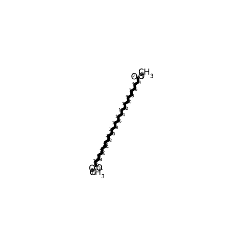 COC(=O)CCCCCCCCCCCCCCCCCCCCCCCCCCC(=O)OC